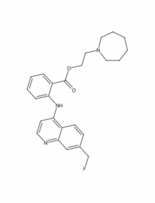 O=C(OCCN1CCCCCC1)c1ccccc1Nc1ccnc2cc(CF)ccc12